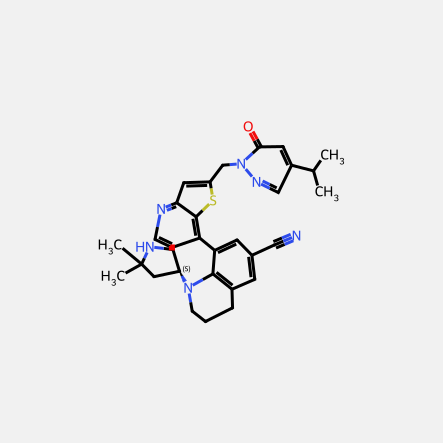 CC(C)c1cnn(Cc2cc3nccc(-c4cc(C#N)cc5c4N([C@@H]4CNC(C)(C)C4)CCC5)c3s2)c(=O)c1